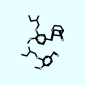 CCC(C)COc1cc(C=C2C(=O)C3CCN2CC3)ccc1OC.CCC(C)COc1cc(C=O)ccc1OC